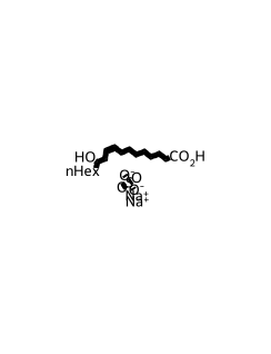 CCCCCCC(O)C/C=C\CCCCCCCC(=O)O.O=S(=O)([O-])[O-].[Na+].[Na+]